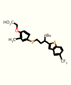 CCCCC(CCSc1ccc(OCC(=O)O)c(C)c1)c1cc2cc(C(F)(F)F)ccc2s1